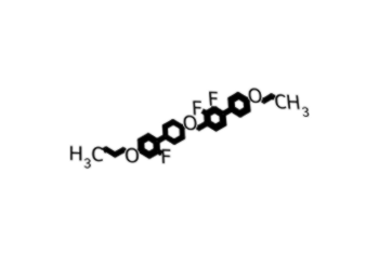 CCCCOc1ccc(C2CCC(OCc3ccc(-c4ccc(OCCC)cc4)c(F)c3F)CC2)c(F)c1